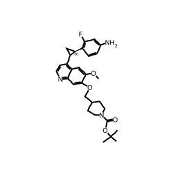 COc1cc2c(C3C[C@H]3c3ccc(N)cc3F)ccnc2cc1OCC1CCN(C(=O)OC(C)(C)C)CC1